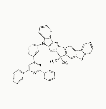 CC1(C)c2cc3oc4ccccc4c3cc2-c2cc3c4ccccc4n(-c4cccc(-c5cc(-c6ccccc6)nc(-c6ccccc6)n5)c4)c3cc21